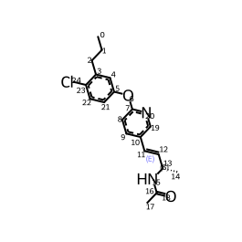 CCCc1cc(Oc2ccc(/C=C/[C@H](C)NC(C)=O)cn2)ccc1Cl